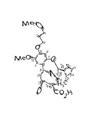 COCCCOc1cc2c(cc1OC)-c1cc(=O)c(C(=O)O)cn1[C@H](c1sccc1C)O2